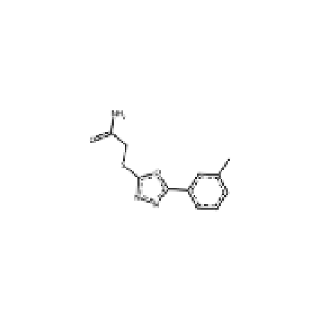 Cc1cccc(-c2nnc(SCC(N)=O)o2)c1